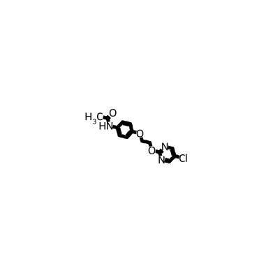 CC(=O)Nc1ccc(OCCOc2ncc(Cl)cn2)cc1